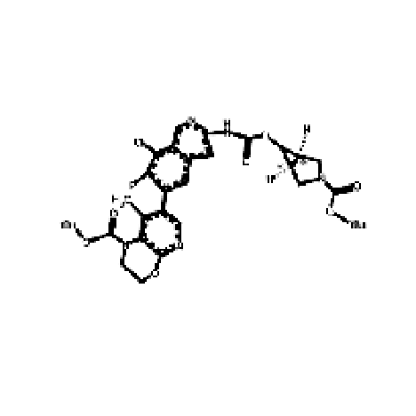 Cc1c(-c2cc3cc(NC(=O)OC4[C@H]5CN(C(=O)OC(C)(C)C)C[C@@H]45)ncc3c(Cl)c2F)cnc2c1N(C(=O)OC(C)(C)C)CCO2